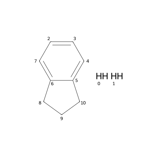 [HH].[HH].c1ccc2c(c1)CCC2